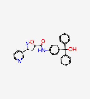 O=C(Nc1ccc(C(O)(c2ccccc2)c2ccccc2)cc1)C1CC(c2cccnc2)=NO1